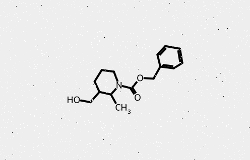 CC1C(CO)CCCN1C(=O)OCc1ccccc1